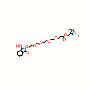 CC(C)COC(=O)CCOCCOCCOCCOCCON1C(=O)C2=C(CCC=C2)C1O